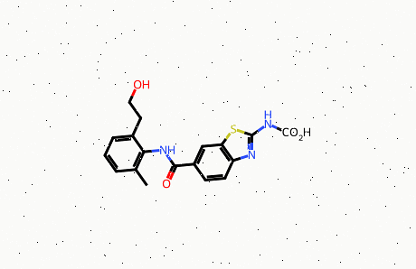 Cc1cccc(CCO)c1NC(=O)c1ccc2nc(NC(=O)O)sc2c1